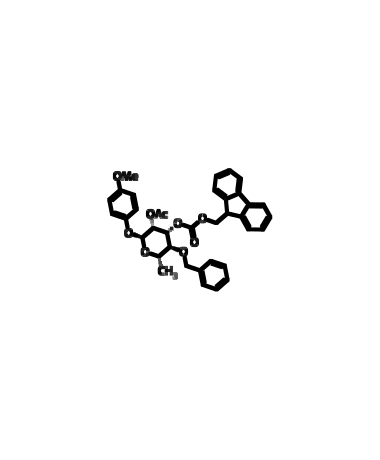 COc1ccc(O[C@@H]2O[C@@H](C)[C@H](OCc3ccccc3)[C@@H](OC(=O)OCC3c4ccccc4-c4ccccc43)[C@H]2OC(C)=O)cc1